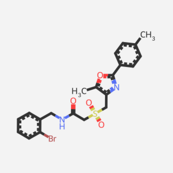 Cc1ccc(-c2nc(CS(=O)(=O)CC(=O)NCc3ccccc3Br)c(C)o2)cc1